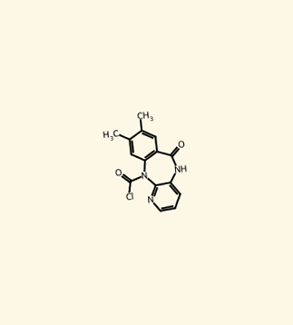 Cc1cc2c(cc1C)N(C(=O)Cl)c1ncccc1NC2=O